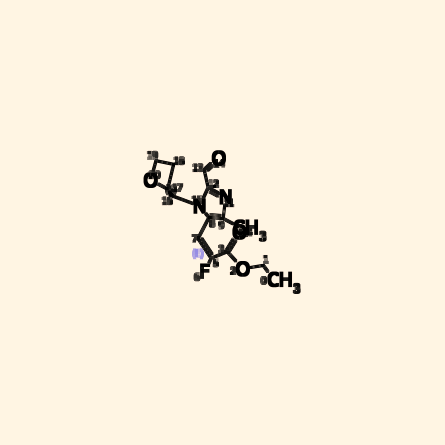 CCOC(=O)/C(F)=C\c1c(C)nc(C=O)n1C[C@@H]1CCO1